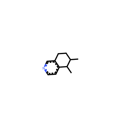 CC1CCc2cnccc2C1C